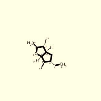 B[C@@H]1O[C@@H]2[C@H](I)[C@@H](CC)C[C@]2(I)[C@H]1F